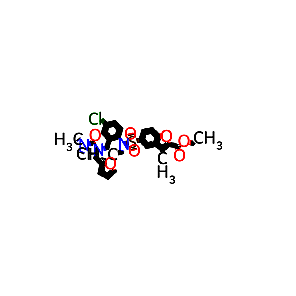 CCOC(=O)c1oc2ccc(S(=O)(=O)N(CC)c3ccc(Cl)cc3CN(Cc3ccco3)C(=O)N(C)C)cc2c1C